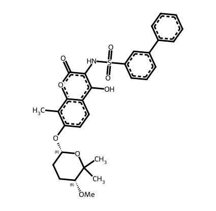 CO[C@@H]1CC[C@H](Oc2ccc3c(O)c(NS(=O)(=O)c4cccc(-c5ccccc5)c4)c(=O)oc3c2C)OC1(C)C